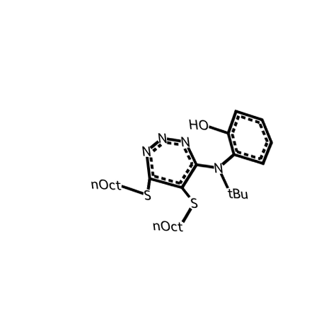 CCCCCCCCSc1nnnc(N(c2ccccc2O)C(C)(C)C)c1SCCCCCCCC